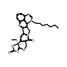 CCCCCCCN1C=Nc2cccc3nc4c(c1c23)Cn1c-4cc2c(c1=O)COC(=O)[C@@]2(CC)OC(C)=O